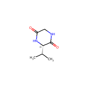 CC(C)[C@@H]1NC(=O)CNC1=O